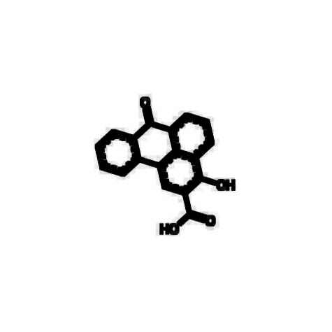 O=C(O)c1cc2c3c(cccc3c1O)C(=O)c1ccccc1-2